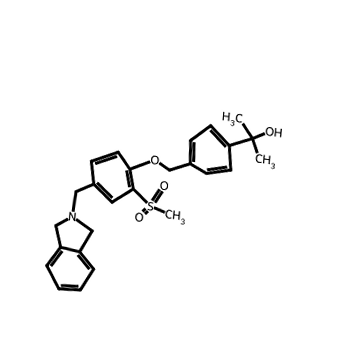 CC(C)(O)c1ccc(COc2ccc(CN3Cc4ccccc4C3)cc2S(C)(=O)=O)cc1